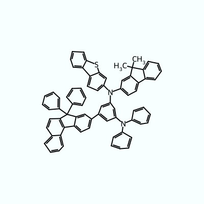 CC1(C)c2ccccc2-c2ccc(N(c3cc(-c4ccc5c(c4)C(c4ccccc4)(c4ccccc4)c4ccc6ccccc6c4-5)cc(N(c4ccccc4)c4ccccc4)c3)c3ccc4c(c3)sc3ccccc34)cc21